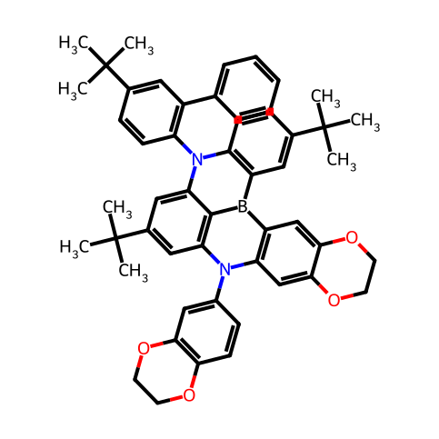 CC(C)(C)c1ccc2c(c1)B1c3cc4c(cc3N(c3ccc5c(c3)OCCO5)c3cc(C(C)(C)C)cc(c31)N2c1ccc(C(C)(C)C)cc1-c1ccccc1)OCCO4